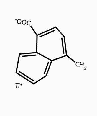 Cc1ccc(C(=O)[O-])c2ccccc12.[Tl+]